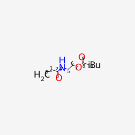 C=CC(=O)NCCOC(=O)C(C)CC